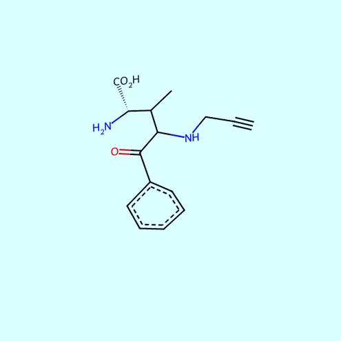 C#CCNC(C(=O)c1ccccc1)C(C)[C@H](N)C(=O)O